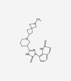 CN1CC2(CC(N3CCCC(c4nn(-c5cccc6ccc(=O)[nH]c56)c(=O)[nH]4)C3)C2)C1